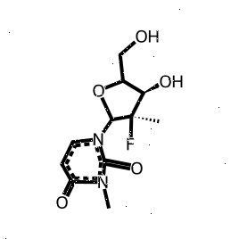 Cn1c(=O)ccn(C2OC(CO)[C@@H](O)[C@@]2(C)F)c1=O